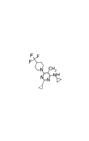 Cc1c(NC2CC2)nc(C2CC2)nc1N1CCC(C(F)(F)F)CC1